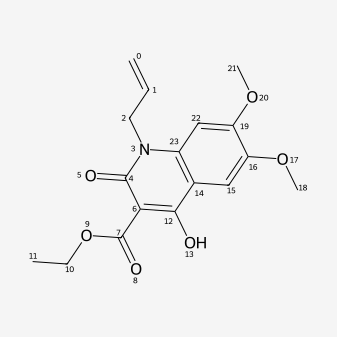 C=CCn1c(=O)c(C(=O)OCC)c(O)c2cc(OC)c(OC)cc21